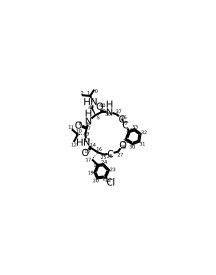 CC(C)NC[C@@H]1NC(=O)[C@@H](C(C)C)NC(=O)[C@@H](Cc2ccc(Cl)cc2)CCCOc2ccccc2CCCNC1=O